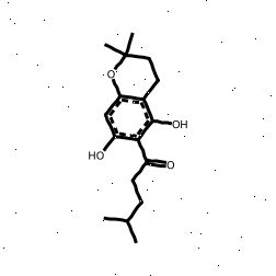 CC(C)CCC(=O)c1c(O)cc2c(c1O)CCC(C)(C)O2